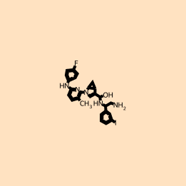 Cc1ccc(Nc2ccc(F)cc2)nc1N1C=C(C(O)NC(CN)c2cccc(I)c2)C2CC21